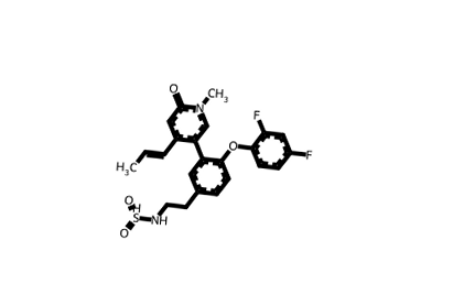 C/C=C/c1cc(=O)n(C)cc1-c1cc(CCN[SH](=O)=O)ccc1Oc1ccc(F)cc1F